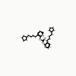 O=C(Oc1ncccc1CCCCC1CCCC1)Oc1ncccc1CCCCC1CCCC1